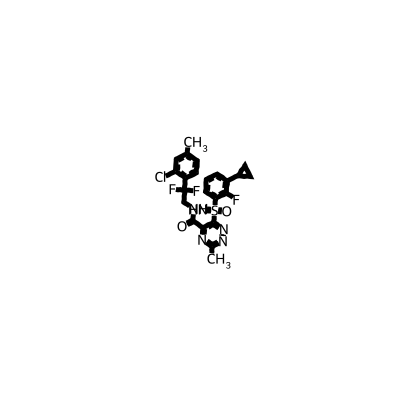 Cc1ccc(C(F)(F)CNC(=O)c2nc(C)nnc2S(=N)(=O)c2cccc(C3CC3)c2F)c(Cl)c1